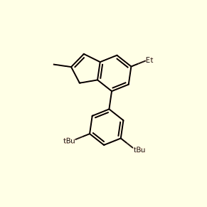 CCc1cc2c(c(-c3cc(C(C)(C)C)cc(C(C)(C)C)c3)c1)CC(C)=C2